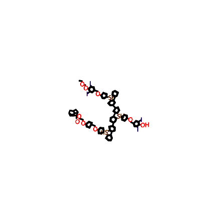 CCOCOc1c(I)cc(COc2ccc([SH]3c4ccccc4-c4cc(-c5ccc6c(c5)-c5ccc(-c7ccc8c(c7)[SH](c7ccc(OCc9ccc(OCC(=O)OC%10(C)C%11CC%12CC(C%11)CC%10C%12)cc9)cc7)c7ccccc7-8)cc5[SH]6c5ccc(OCc6cc(I)c(O)c(I)c6)cc5)ccc43)cc2)cc1I